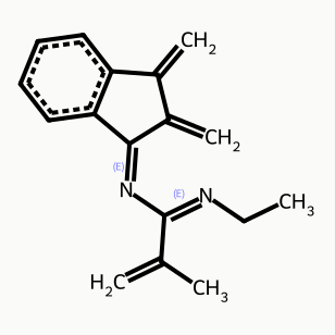 C=C(C)C(=N\CC)/N=C1\C(=C)C(=C)c2ccccc21